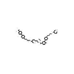 O=C(CCCc1ccc(-c2cc(C(=O)N3CCOC(c4ccc(NC(=O)CCCc5ccc(-c6ccc(C(F)(F)F)cc6F)cc5)cn4)C3)ccc2F)cc1)Nc1cccnc1